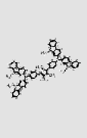 Cc1c(C)c(-c2ccc(N(c3ccc4c5ccccc5n(C)c4c3)c3ccc4c5ccccc5n(C)c4c3)cc2)n(C)c1-c1ccc(N(c2ccc3c4ccccc4n(C)c3c2)c2ccc3c4ccccc4n(C)c3c2)cc1